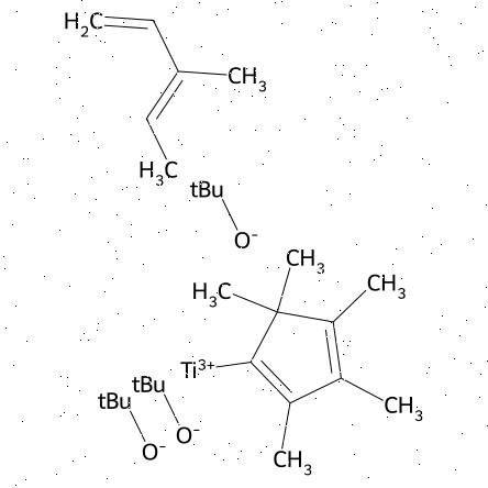 C=CC(C)=CC.CC(C)(C)[O-].CC(C)(C)[O-].CC(C)(C)[O-].CC1=C(C)C(C)(C)[C]([Ti+3])=C1C